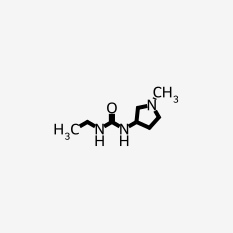 CCNC(=O)NC1CCN(C)C1